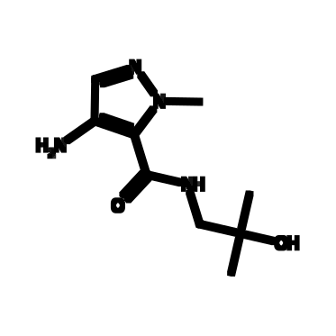 Cn1ncc(N)c1C(=O)NCC(C)(C)O